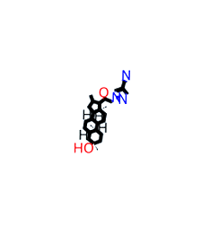 CC1C[C@H]2[C@@H]3CC[C@H]4C[C@](C)(O)CC[C@]4(C)[C@H]3CC[C@]2(C)C1C(=O)Cn1cc(C#N)cn1